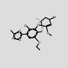 [2H]C1C=C(OC)[C@]2(Cc3c(OCC)cc(-c4nnc(C)o4)c(Cl)c3O2)[C@H](C)C1